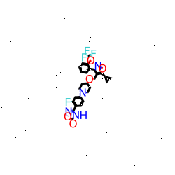 O=c1[nH]c(-c2ccc(N3CCC(OCc4c(-c5ccccc5OC(F)(F)F)noc4C4CC4)CC3)cc2F)no1